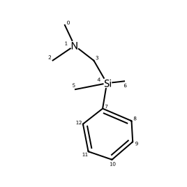 CN(C)C[Si](C)(C)c1ccccc1